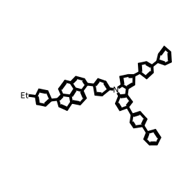 CCc1ccc(-c2ccc3ccc4c(-c5ccc(-n6c7ccc(-c8ccc(-c9ccccc9)cc8)cc7c7cc(-c8ccc(-c9ccccc9)cc8)ccc76)cc5)ccc5ccc2c3c54)cc1